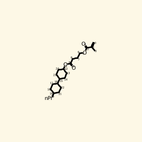 C=C(C)C(=O)OCCCC(=O)OC1CCC(C2CCC(CCC)CC2)CC1